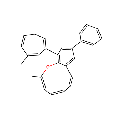 CC1=CC(c2cc(-c3ccccc3)cc3cccccc(C)oc23)=CCC=C1